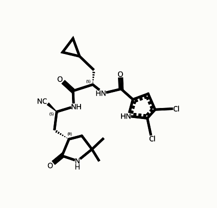 CC1(C)C[C@@H](C[C@@H](C#N)NC(=O)[C@H](CC2CC2)NC(=O)c2cc(Cl)c(Cl)[nH]2)C(=O)N1